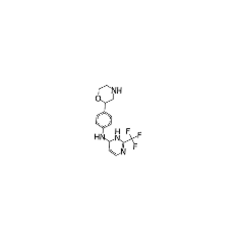 FC(F)(F)C1=NC=CC(Nc2ccc(C3CNCCO3)cc2)N1